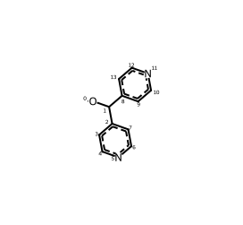 [O]C(c1ccncc1)c1ccncc1